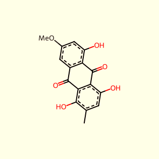 COc1cc(O)c2c(c1)C(=O)c1c(O)c(C)cc(O)c1C2=O